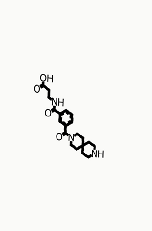 O=C(O)CCNC(=O)c1cccc(C(=O)N2CCC3(CCNCC3)CC2)c1